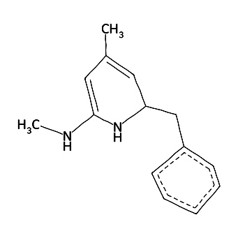 CNC1=CC(C)=CC(Cc2ccccc2)N1